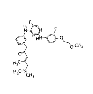 COCCOc1ccc(Nc2ncc(F)c(Nc3cccc(CC(=O)/C=C(\C)CN(C)C)c3)n2)cc1F